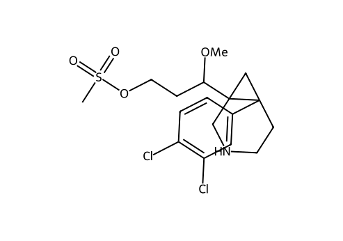 COC(CCOS(C)(=O)=O)C12CNCCC1(c1ccc(Cl)c(Cl)c1)C2